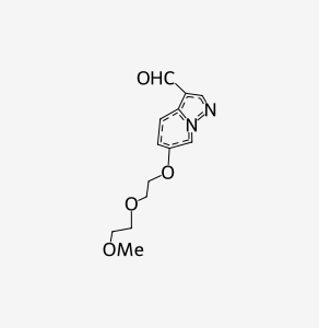 COCCOCCOc1ccc2c(C=O)cnn2c1